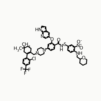 CC1(C)CCC(CN2CCN(c3ccc(C(=O)NSc4ccc(NCC5CCCCO5)c([N+](=O)[O-])c4)c(Oc4cnc5[nH]ccc5c4)c3)CC2)=C(c2ccc(C(F)(F)F)cc2Cl)C1